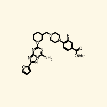 COC(=O)c1ccc(N2CCN(CC3CCCN(c4nc(N)n5nc(-c6ccco6)nc5n4)C3)CC2)c(F)c1